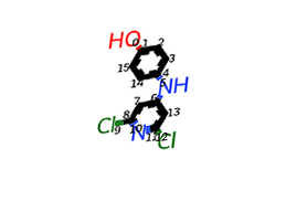 Oc1ccc(Nc2cc(Cl)nc(Cl)c2)cc1